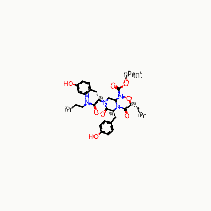 CCCCCOC(=O)N1O[C@H](CC(C)C)C(=O)N2C1CN([C@@H](Cc1ccc(O)cc1)C(=O)NCCC(C)C)C(=O)[C@@H]2Cc1ccc(O)cc1